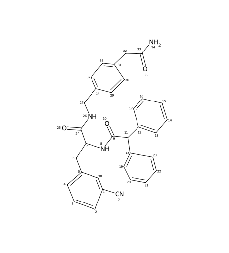 N#Cc1cccc(CC(NC(=O)C(c2ccccc2)c2ccccc2)C(=O)NCc2ccc(CC(N)=O)cc2)c1